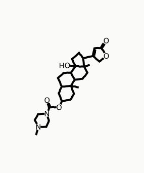 CN1CCN(C(=O)OC2CCC3(C)C(CCC4C3CCC3(C)C(C5=CC(=O)OC5)CCC43O)C2)CC1